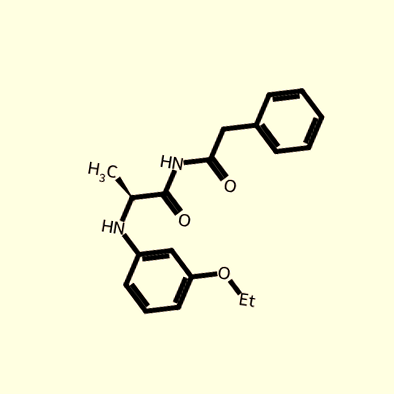 CCOc1cccc(N[C@@H](C)C(=O)NC(=O)Cc2ccccc2)c1